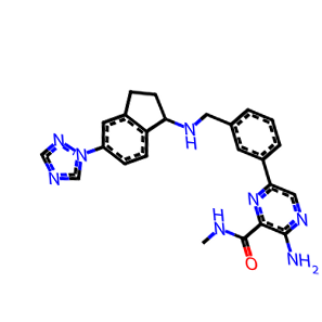 CNC(=O)c1nc(-c2cccc(CNC3CCc4cc(-n5cncn5)ccc43)c2)cnc1N